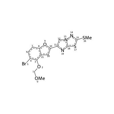 COCOc1c(Br)ccc2oc(-c3cn4nc(SC)sc4n3)cc12